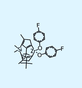 CC1=C2C(C(C)(C)C)=[C](C1)[Zr]([O]c1ccc(F)cc1)([O]c1ccc(F)cc1)[C]1=C(C(C)(C)C)C(=C(C)C1)[Si]2(C)C